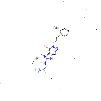 CC#CCn1c(N(C)CC(C)N)nc2cnn(C/C=C/c3ccccc3N=O)c(=O)c21